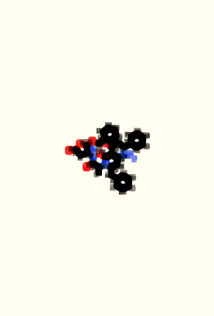 CC(C(=O)NC1CC(=O)OC1OCc1ccccc1)n1c(Cc2ccccc2)cc(N)c(C(=O)CCc2ccccc2)c1=O